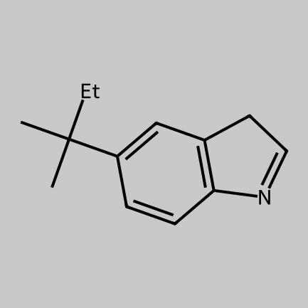 CCC(C)(C)c1ccc2c(c1)CC=N2